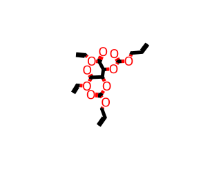 C=CCOC(=O)OC(C(=O)OC=C)C(OC(=O)OCC=C)C(=O)OC=C